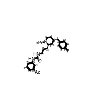 CCCN1CC[C@H](Cc2ccc(F)cc2)C[C@H]1CCCNC(=O)Nc1cccc(C(C)=O)c1